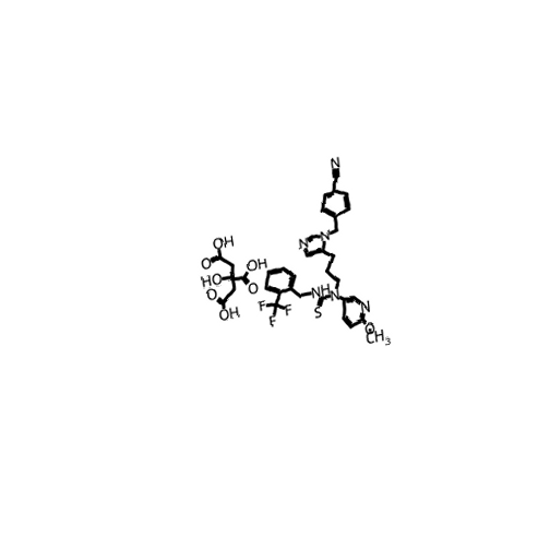 COc1ccc(N(CCCc2cncn2Cc2ccc(C#N)cc2)C(=S)NCc2ccccc2C(F)(F)F)cn1.O=C(O)CC(O)(CC(=O)O)C(=O)O